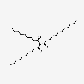 CCCCCCCCCCCC(=O)N(C(=O)CCCCCCCCC)C(=O)CCCCCCCCC